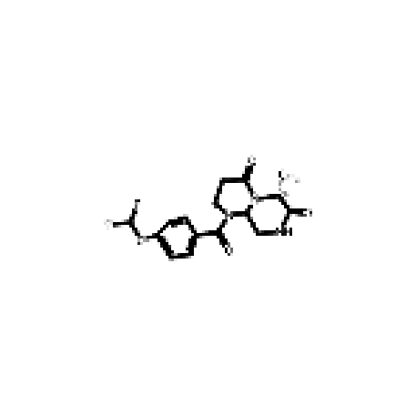 C[C@@H]1C(=O)NCC2N(C(=O)c3ccc(OC(F)F)cc3)CCC(=O)N21